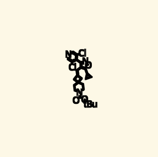 CC(C)(C)OC(=O)N1CCC2(CC1)CC(=Cc1c(-c3c(Cl)cncc3Cl)noc1C1CC1)C2